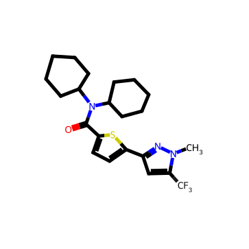 Cn1nc(-c2ccc(C(=O)N(C3CCCCC3)C3CCCCC3)s2)cc1C(F)(F)F